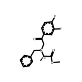 COC(=O)[C@@H](C)N(CC(=O)c1ccc(F)c(F)c1)Cc1ccccc1